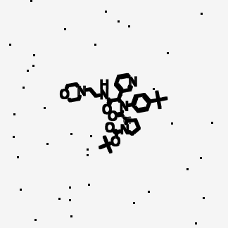 CC(C)(C)OC(=O)N1CCC[C@@H]1C(=O)N(c1ccc(C(C)(C)C)cc1)C(C(=O)NCCN1CCOCC1)c1cccnc1